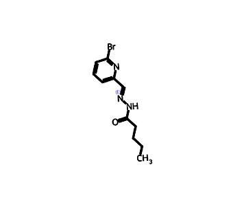 CCCCC(=O)N/N=C/c1cccc(Br)n1